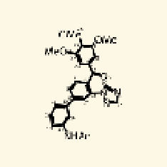 COc1cc(C(=O)c2ccc(-c3cccc(NC(C)=O)c3)cc2-n2cncn2)cc(OC)c1OC